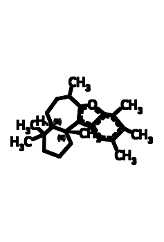 Cc1cc2c3c(oc2c(C)c1C)C(C)CC[C@@H]1C(C)(C)CCC[C@@]31C